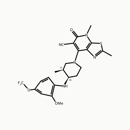 COc1cc(OC(F)(F)F)ccc1N[C@@H]1CCN(c2c(C#N)c(=O)n(C)c3sc(C)nc23)C[C@@H]1C